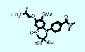 CCCCC1(CCCC)CN(c2ccc(C(=O)N(C)C)cc2)c2cc(SC)c(O/C=C(\F)C(=O)O)cc2[S+]([O-])C1